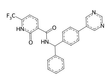 O=C(NC(c1ccccc1)c1ccc(-c2cncnc2)cc1)c1ccc(C(F)(F)F)[nH]c1=O